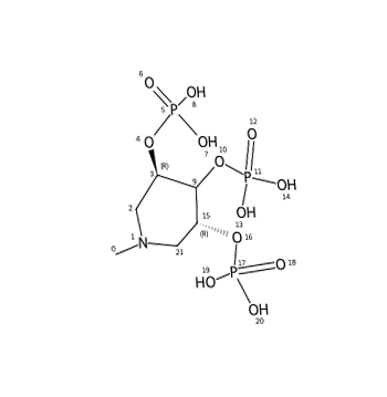 CN1C[C@@H](OP(=O)(O)O)C(OP(=O)(O)O)[C@H](OP(=O)(O)O)C1